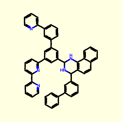 c1ccc(-c2cccc(C3NC(c4cc(-c5cccc(-c6ccccn6)c5)cc(-c5cccc(-c6ccccn6)n5)c4)Nc4c3ccc3ccccc43)c2)cc1